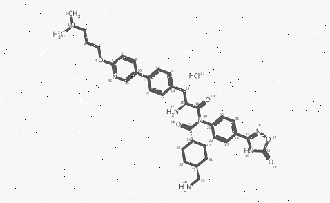 CN(C)CCCOc1ccc(-c2ccc(C[C@H](N)C(=O)N(c3ccc(-c4noc(=O)[nH]4)cc3)C(=O)[C@H]3CC[C@H](CN)CC3)cc2)cn1.Cl